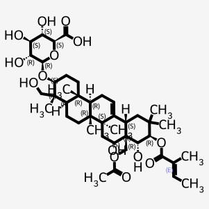 C/C=C(\C)C(=O)O[C@H]1[C@H](O)[C@]2(COC(C)=O)[C@@H](O)C[C@]3(C)C(=CC[C@@H]4[C@@]5(C)CC[C@H](O[C@@H]6O[C@H](C(=O)O)[C@@H](O)[C@H](O)[C@H]6O)[C@@](C)(CO)[C@@H]5CC[C@]43C)[C@@H]2CC1(C)C